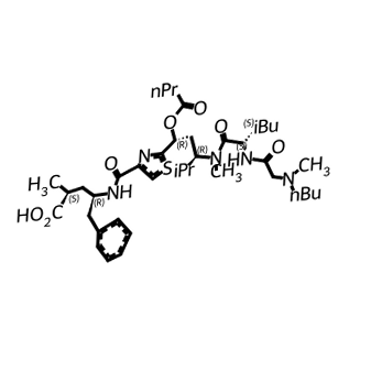 CCCCN(C)CC(=O)N[C@H](C(=O)N(C)[C@H](C[C@@H](OC(=O)CCC)c1nc(C(=O)N[C@@H](Cc2ccccc2)C[C@H](C)C(=O)O)cs1)C(C)C)[C@@H](C)CC